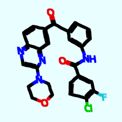 O=C(Nc1cccc(C(=O)c2ccc3ncc(N4CCOCC4)nc3c2)c1)c1ccc(Cl)c(F)c1